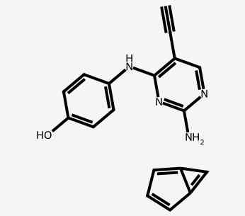 C#Cc1cnc(N)nc1Nc1ccc(O)cc1.c1cc2cc-2c1